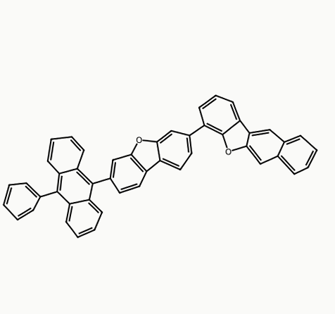 c1ccc(-c2c3ccccc3c(-c3ccc4c(c3)oc3cc(-c5cccc6c5oc5cc7ccccc7cc56)ccc34)c3ccccc23)cc1